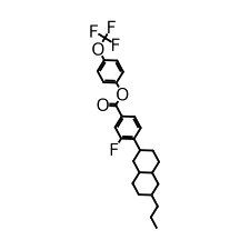 CCCC1CCC2CC(c3ccc(C(=O)Oc4ccc(OC(F)(F)F)cc4)cc3F)CCC2C1